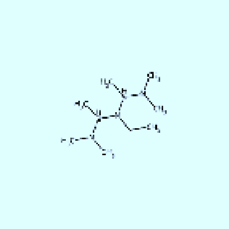 CCN([SiH](C)N(C)C)[SiH](C)N(C)C